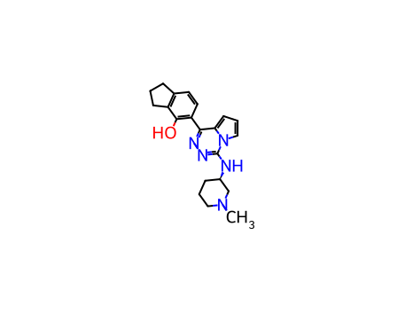 CN1CCC[C@@H](Nc2nnc(-c3ccc4c(c3O)CCC4)c3cccn23)C1